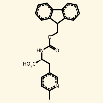 Cc1ccc(C[C@H](NC(=O)OCC2c3ccccc3-c3ccccc32)C(=O)O)cn1